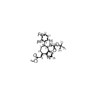 COC(=O)C=C1CC[C@@H](c2cccc(F)c2F)[C@H](NC(=O)OC(C)(C)C)c2scnc21